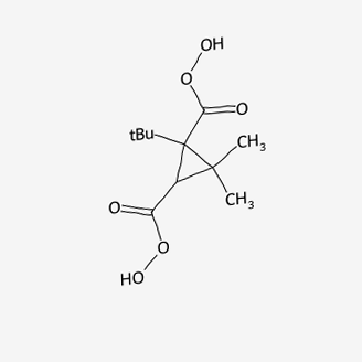 CC(C)(C)C1(C(=O)OO)C(C(=O)OO)C1(C)C